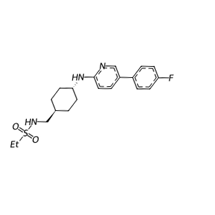 CCS(=O)(=O)NC[C@H]1CC[C@H](Nc2ccc(-c3ccc(F)cc3)cn2)CC1